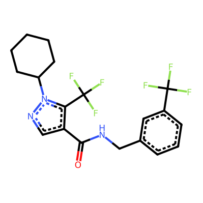 O=C(NCc1cccc(C(F)(F)F)c1)c1cnn(C2CCCCC2)c1C(F)(F)F